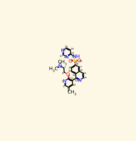 Cc1cnc(OCCN(C)C)c(-c2nccc3cc(S(=O)(=O)Nc4ccncn4)ccc23)c1